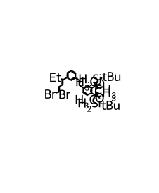 CCC(=CC=C(Br)Br)c1cccc(CCc2ccc(C(C)(C)O[SiH2]C(C)(C)C)c(C(C)(C)O[SiH2]C(C)(C)C)c2)c1